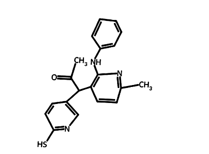 CC(=O)C(c1ccc(S)nc1)c1ccc(C)nc1Nc1ccccc1